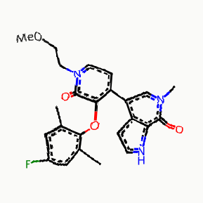 COCCn1ccc(-c2cn(C)c(=O)c3[nH]ccc23)c(Oc2c(C)cc(F)cc2C)c1=O